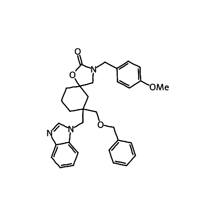 COc1ccc(CN2CC3(CCCC(COCc4ccccc4)(Cn4cnc5ccccc54)C3)OC2=O)cc1